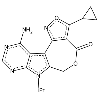 CC(C)n1c2c(c3c(N)ncnc31)-c1noc(C3CC3)c1C(=O)OC2